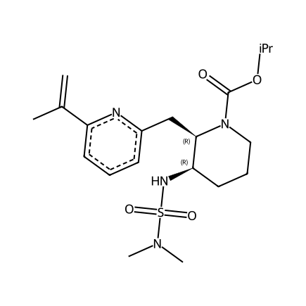 C=C(C)c1cccc(C[C@@H]2[C@H](NS(=O)(=O)N(C)C)CCCN2C(=O)OC(C)C)n1